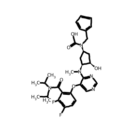 CC(C)N(C(=O)c1c(Oc2cncnc2N(C)[C@H]2C[C@@H](N(Cc3ccccc3)C(=O)O)C[C@H]2O)ccc(F)c1F)C(C)C